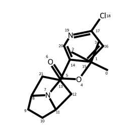 CC(C)(C)OC(=O)N1C2CCC1CC(c1ccc(Cl)nc1)C2